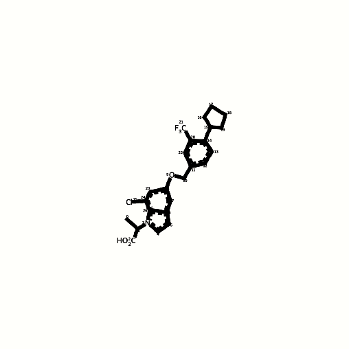 CC(C(=O)O)n1ccc2cc(OCc3ccc(C4CCCC4)c(C(F)(F)F)c3)cc(Cl)c21